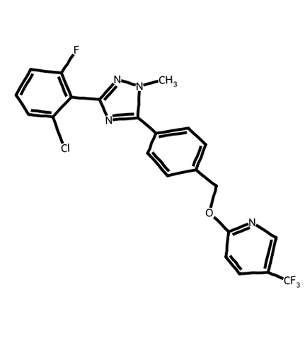 Cn1nc(-c2c(F)cccc2Cl)nc1-c1ccc(COc2ccc(C(F)(F)F)cn2)cc1